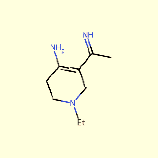 CCN1CCC(N)=C(C(C)=N)C1